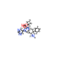 CN(C)C[C@]1(c2ccccc2)CC[C@]2(CC1)CN(c1cncnc1)C(=O)N2CC1(O)CCC1